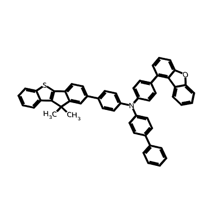 CC1(C)c2cc(-c3ccc(N(c4ccc(-c5ccccc5)cc4)c4ccc(-c5cccc6oc7ccccc7c56)cc4)cc3)ccc2-c2sc3ccccc3c21